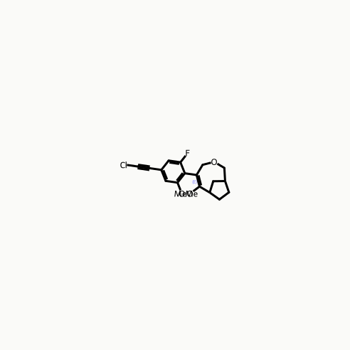 CO/C1=C(\c2c(F)cc(C#CCl)cc2OC)COCC2CCC1C2